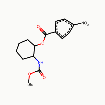 CC(C)(C)OC(=O)NC1CCCCC1OC(=O)c1ccc([N+](=O)[O-])cc1